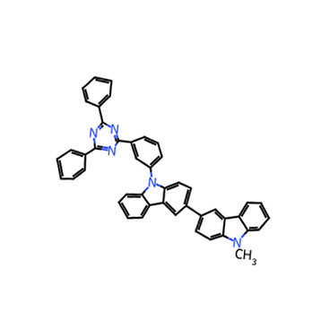 Cn1c2ccccc2c2cc(-c3ccc4c(c3)c3ccccc3n4-c3cccc(-c4nc(-c5ccccc5)nc(-c5ccccc5)n4)c3)ccc21